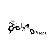 Cc1ccc(S(N)(=O)=O)c(-c2ccc(NC(=O)[C@@H]3C[C@H]3c3cccc(C=NN)c3)cc2)c1